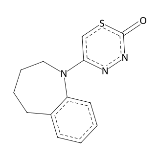 O=c1nnc(N2CCCCc3ccccc32)cs1